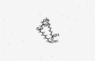 CCCCCCCCCC(=O)O.CCCCCCCCCCCCCCCCCC(=O)OCC(O)CO